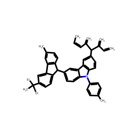 C=CC(=C)C(C(=C)/C=C\C)c1ccc2c(c1)c1cc(C3c4ccc(C)cc4-c4cc(C(C)(CC)CC)ccc43)ccc1n2-c1ccc(C)cc1